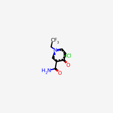 Cl.NC(=O)c1cn(CC(F)(F)F)ccc1=O